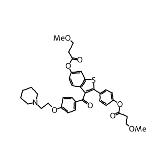 COCCC(=O)Oc1ccc(-c2sc3cc(OC(=O)CCOC)ccc3c2C(=O)c2ccc(OCCN3CCCCC3)cc2)cc1